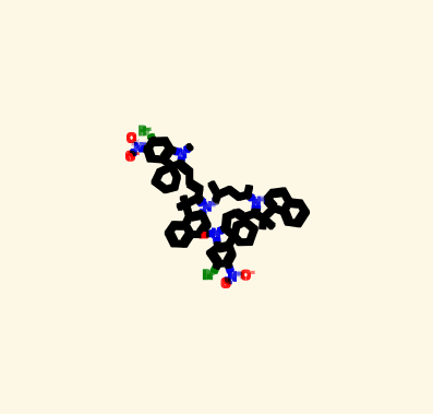 CC(CCC(C)[N+]1=C(/C=C/C=C2/N(C)c3cc(Br)c([N+](=O)[O-])cc3C23CCCCC3)C(C)(C)c2c1ccc1ccccc21)C[N+]1=C(/C=C/C=C2/N(C)c3cc(Br)c([N+](=O)[O-])cc3C23CCCCC3)C(C)(C)c2c1ccc1ccccc21